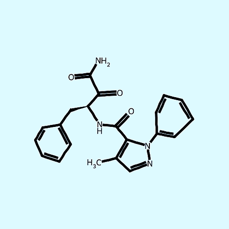 Cc1cnn(-c2ccccc2)c1C(=O)N[C@@H](Cc1ccccc1)C(=O)C(N)=O